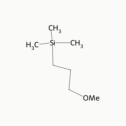 COCCC[Si](C)(C)C